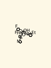 CCc1cccc(CNC[C@@H](O)[C@H](Cc2cc(F)cc(F)c2)NC(=O)c2ccc(-c3ccccn3)s2)c1